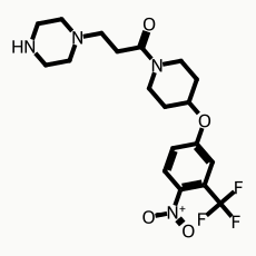 O=C(CCN1CCNCC1)N1CCC(Oc2ccc([N+](=O)[O-])c(C(F)(F)F)c2)CC1